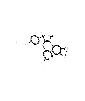 COc1ccc(C2(O)OC(=O)C(c3ccc4nsnc4c3)=C2Cc2ccnc(OC)c2)cc1